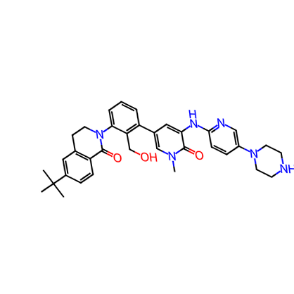 Cn1cc(-c2cccc(N3CCc4cc(C(C)(C)C)ccc4C3=O)c2CO)cc(Nc2ccc(N3CCNCC3)cn2)c1=O